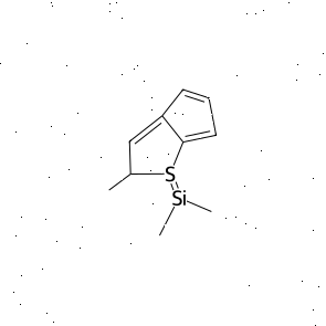 CC1C=C2C=CC=C2S1=[Si](C)C